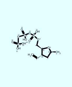 C=C[C@H]1C[C@H](C)O[C@@H]1COP(=O)(O)OP(=O)(O)OP(=O)(O)O